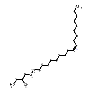 CCCCCCCC/C=C\CCCCCCCCNOCC(O)CO